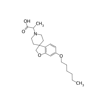 CCCCCCOc1ccc2c(c1)OCC21CCN(C(C)C(=O)O)CC1